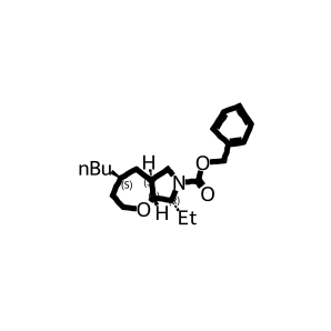 CCCC[C@@H]1CCO[C@@H]2[C@@H](C1)CN(C(=O)OCc1ccccc1)[C@@H]2CC